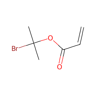 C=CC(=O)OC(C)(C)Br